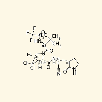 CC(C)(C)[C@H](NC(=O)C(F)(F)F)C(=O)N1C[C@H]2[C@@H]([C@H]1C(=O)N[C@H](C#N)C[C@@H]1CCNC1=O)C2(Cl)Cl